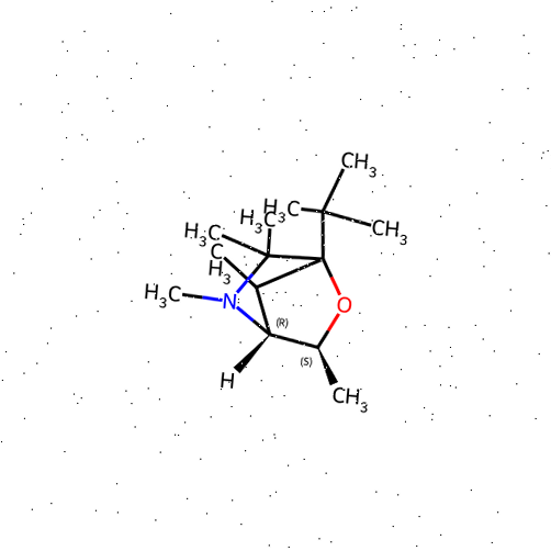 CC1[C@@H]2[C@H](C)OC1(C(C)(C)C)C(C)(C)N2C